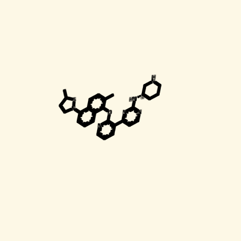 Cc1ccc2c(N3CCC(C)S3)cccc2c1Oc1ncccc1-c1ccnc(N[C@H]2CCCNC2)n1